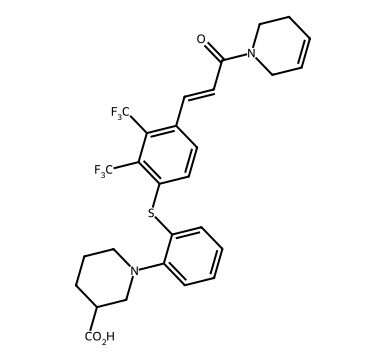 O=C(O)C1CCCN(c2ccccc2Sc2ccc(C=CC(=O)N3CC=CCC3)c(C(F)(F)F)c2C(F)(F)F)C1